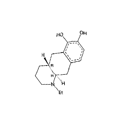 CCN1CCC[C@@H]2Cc3c(ccc(O)c3O)C[C@H]21